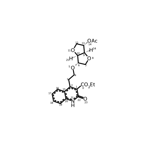 CCOC(=O)c1c(CCO[C@H]2CO[C@H]3[C@@H]2OC[C@@H]3OC(C)=O)c2ccccc2[nH]c1=O